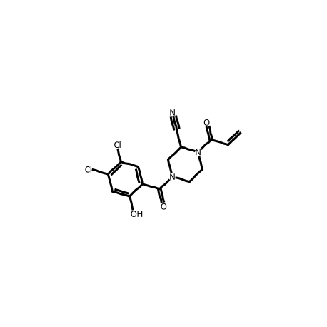 C=CC(=O)N1CCN(C(=O)c2cc(Cl)c(Cl)cc2O)CC1C#N